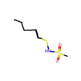 CCCCCSNS(C)(=O)=O